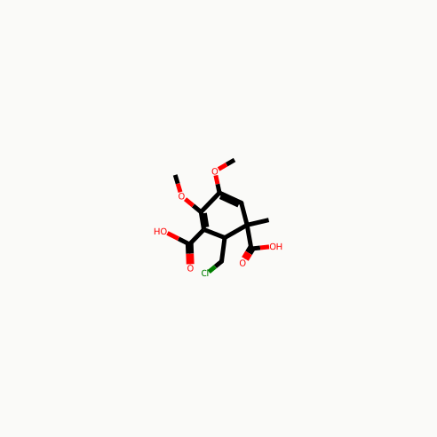 COC1=CC(C)(C(=O)O)C(CCl)C(C(=O)O)=C1OC